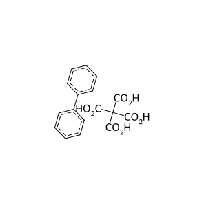 O=C(O)C(C(=O)O)(C(=O)O)C(=O)O.c1ccc(-c2ccccc2)cc1